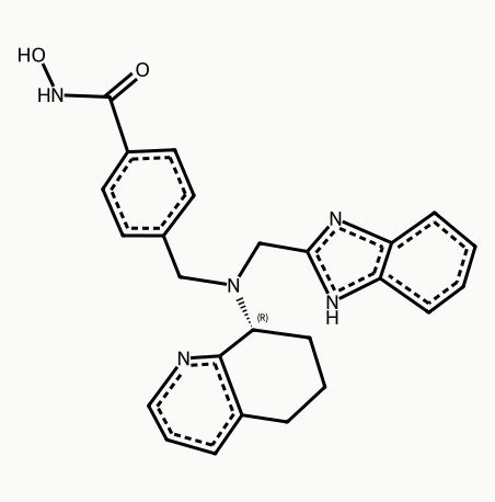 O=C(NO)c1ccc(CN(Cc2nc3ccccc3[nH]2)[C@@H]2CCCc3cccnc32)cc1